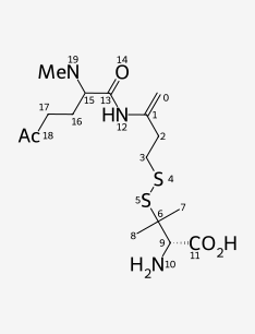 C=C(CCSSC(C)(C)[C@@H](N)C(=O)O)NC(=O)C(CCC(C)=O)NC